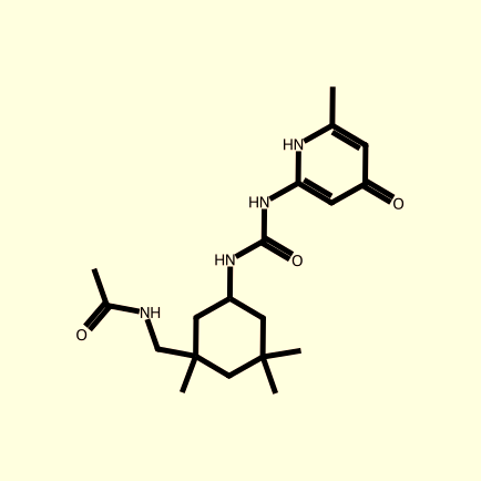 CC(=O)NCC1(C)CC(NC(=O)Nc2cc(=O)cc(C)[nH]2)CC(C)(C)C1